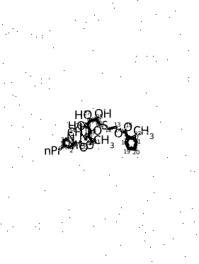 CCC[C@@H]1C[C@@H](C(=O)N[C@@H]([C@H]2O[C@H](SCCOC(=O)c3ccccc3C)[C@H](O)[C@@H](O)[C@H]2O)[C@@H](C)OC)N(C)C1